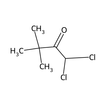 CC(C)(C)C(=O)C(Cl)Cl